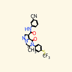 C[C@H]1Cn2ncc(C(=O)Nc3cccc(C#N)c3)c2C(=O)N1c1ccc(SC(F)(F)F)cc1